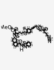 COCOC(=O)c1nc(N2CCc3cccc(C(=O)Nc4nc5ccccc5s4)c3C2)sc1CCCOc1ccc(C#CCN2CCN(C(=O)CCCN=[N+]=[N-])CC2)cc1F